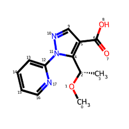 CO[C@@H](C)c1c(C(=O)O)cnn1-c1ccccn1